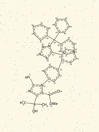 CCCc1nc(C(C)(C)O)c(C(=O)OC)n1-c1ccc(-c2ccccc2-c2nnnn2C(c2ccccc2)(c2ccccc2)c2ccccc2)cc1